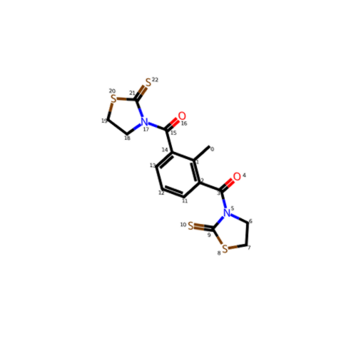 Cc1c(C(=O)N2CCSC2=S)cccc1C(=O)N1CCSC1=S